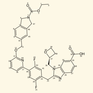 CCOC(=O)N1Cc2ccc(COc3cccc(-c4cc(F)c(Cc5nc6ccc(C(=O)O)cc6n5C[C@@H]5CCO5)cc4F)n3)cc2C1